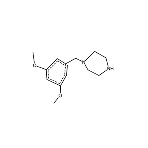 COc1cc(CN2CCNCC2)cc(OC)c1